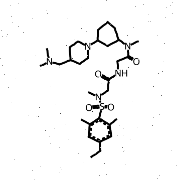 CCc1cc(C)c(S(=O)(=O)N(C)CC(=O)NCC(=O)N(C)C2CCCC(N3CCC(CN(C)C)CC3)C2)c(C)c1